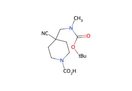 CN(CC1(C#N)CCN(C(=O)O)CC1)C(=O)OC(C)(C)C